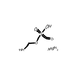 CCCCOS(=O)(=O)O.[MgH2]